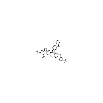 Cc1cc2c(cc1N(c1ccc3c(c1)C(C)(C)c1ccccc1-3)c1ccc3c(c1)C(C)(C)c1cc(C(C)(C)C)ccc1-3)oc1cc(C(C)(C)C)cc(C(C)(C)C)c12